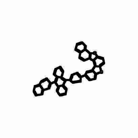 c1ccc2cc(-c3c4ccccc4c(-c4ccc(-c5ccc6oc7ccc8oc9c%10ccccc%10ccc9c8c7c6c5)cc4)c4ccccc34)ccc2c1